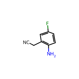 N#CCc1cc(F)ccc1N